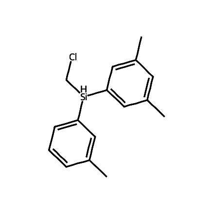 Cc1cccc([SiH](CCl)c2cc(C)cc(C)c2)c1